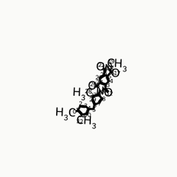 Cc1ccc(Cc2ccc(-n3c(=O)c4cc5c(=O)n(C)c(=O)c5cc4c3=O)c(C)c2)cc1C